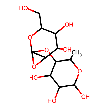 CC1OC(O)C(O)C(O)C1OC12OC(CO)C(O)C(O)C1O2